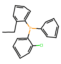 CCc1ccccc1P(c1ccccc1)c1ccccc1Cl